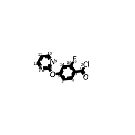 O=C(Cl)c1ccc(Oc2ncccn2)cc1F